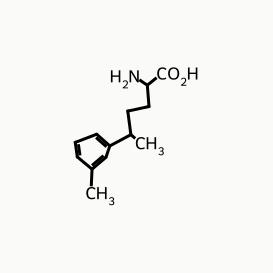 Cc1cccc(C(C)CCC(N)C(=O)O)c1